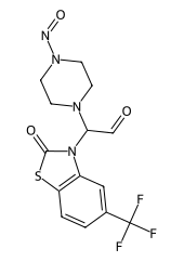 O=CC(N1CCN(N=O)CC1)n1c(=O)sc2ccc(C(F)(F)F)cc21